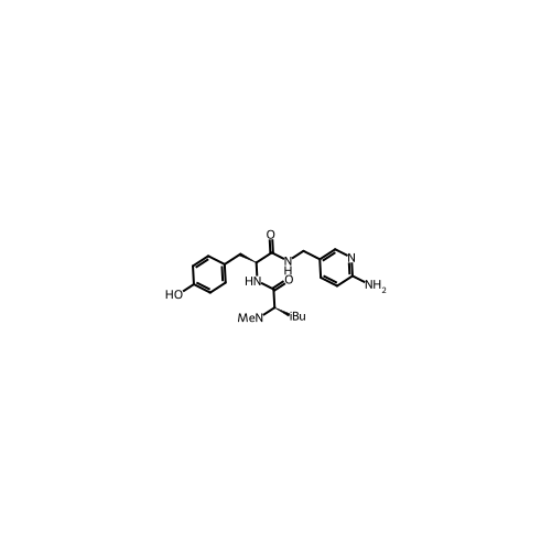 CCC(C)[C@@H](NC)C(=O)N[C@@H](Cc1ccc(O)cc1)C(=O)NCc1ccc(N)nc1